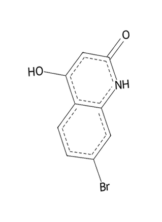 O=c1cc(O)c2ccc(Br)cc2[nH]1